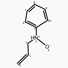 C=CC[NH+]([O-])c1ccccc1